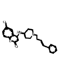 O=c1cc(NC2CCN(CC/C=C/c3ccccc3)CC2)c2cc(Cl)ccc2o1